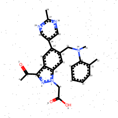 CC(=O)c1nn(CC(=O)O)c2cc(CN(C)c3ccccc3C)c(-c3cnc(C)nc3)cc12